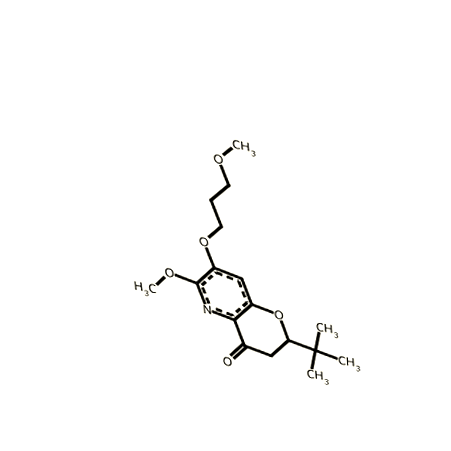 COCCCOc1cc2c(nc1OC)C(=O)CC(C(C)(C)C)O2